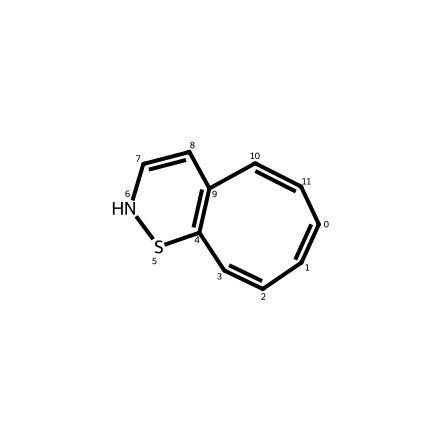 c1cccc2s[nH]ccc=2cc1